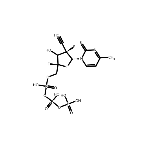 C#C[C@@]1(F)C(O)[C@@](F)(COP(=O)(O)OP(=O)(O)OP(=O)(O)O)O[C@H]1n1ccc(C)nc1=S